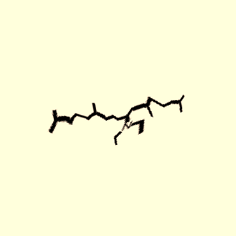 CCN(CC)C(/C=C(\C)CCC=C(C)C)C/C=C(\C)CCC=C(C)C